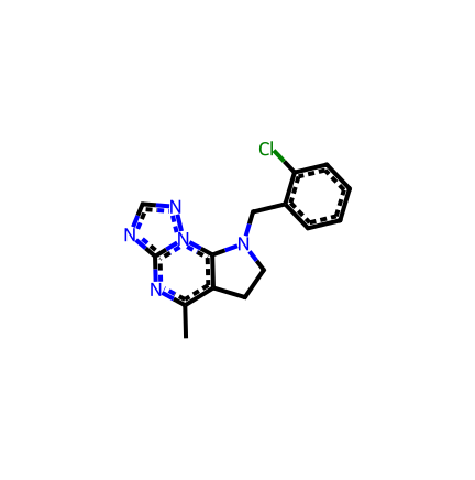 Cc1nc2ncnn2c2c1CCN2Cc1ccccc1Cl